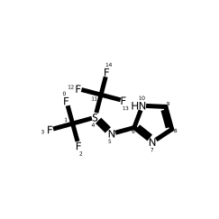 FC(F)(F)S(=Nc1ncc[nH]1)C(F)(F)F